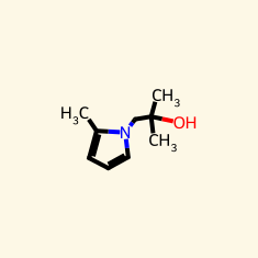 Cc1cccn1CC(C)(C)O